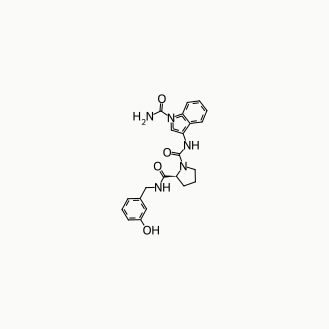 NC(=O)n1cc(NC(=O)N2CCC[C@H]2C(=O)NCc2cccc(O)c2)c2ccccc21